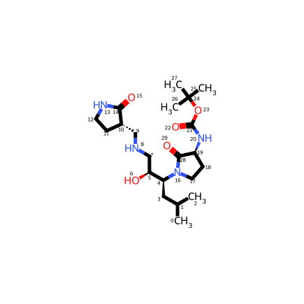 CC(C)C[C@@H]([C@@H](O)CNC[C@@H]1CCNC1=O)N1CC[C@H](NC(=O)OC(C)(C)C)C1=O